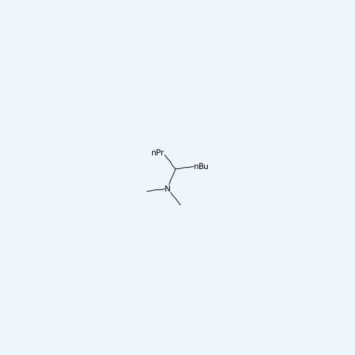 [CH2]CCCC(CCC)N(C)C